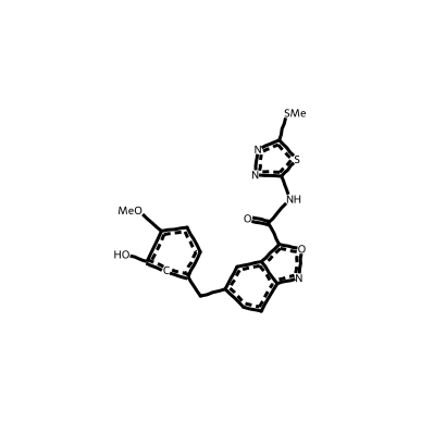 COc1ccc(Cc2ccc3noc(C(=O)Nc4nnc(SC)s4)c3c2)cc1O